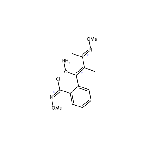 CO/N=C(C)/C(C)=C(\ON)c1ccccc1/C(Cl)=N\OC